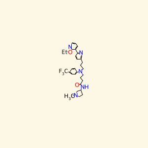 CCOc1ncccc1-c1ccc(CCCN(CCCC(=O)N[C@H]2CCN(C)C2)c2ccc(C(F)(F)F)cc2)cn1